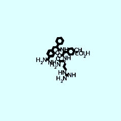 CC(=O)O.N=C(N)NCCC[C@H](NC(=O)[C@@H](NC(=O)C(Cc1ccc(C(=N)N)cc1)C1CCCCC1)C1CCCCC1)C(N)=O